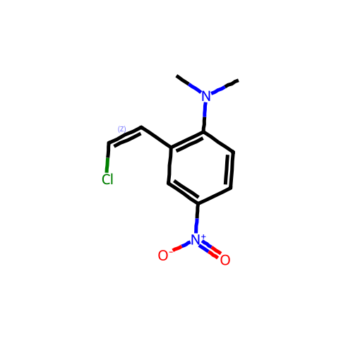 CN(C)c1ccc([N+](=O)[O-])cc1/C=C\Cl